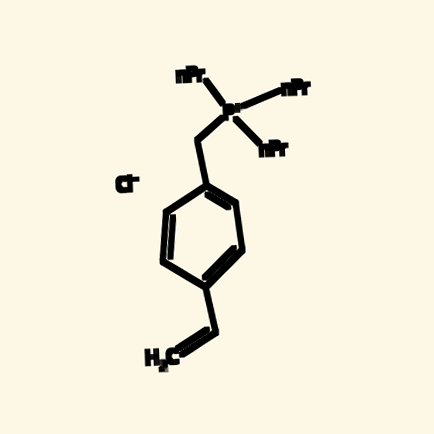 C=Cc1ccc(C[P+](CCC)(CCC)CCC)cc1.[Cl-]